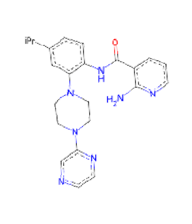 CC(C)c1ccc(NC(=O)c2cccnc2N)c(N2CCN(c3cnccn3)CC2)c1